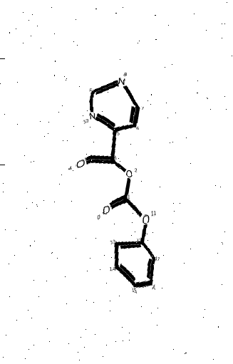 O=C(OC(=O)c1ccncn1)Oc1ccccc1